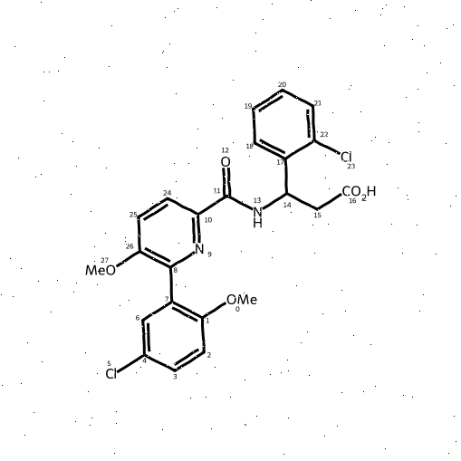 COc1ccc(Cl)cc1-c1nc(C(=O)NC(CC(=O)O)c2ccccc2Cl)ccc1OC